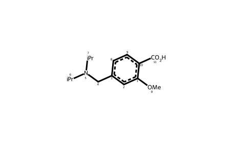 COc1cc(CN(C(C)C)C(C)C)ccc1C(=O)O